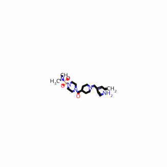 C=C/C=C(\C=C/N)CN1CCC(C(=O)N2CCN(S(=O)(=O)N(C)C)CC2)CC1